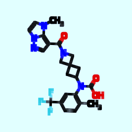 Cc1ccc(C(F)(F)F)cc1N(C(=O)O)C1CC2(C1)CN(C(=O)c1cnn3ccn(C)c13)C2